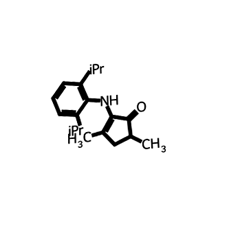 CC1=C(Nc2c(C(C)C)cccc2C(C)C)C(=O)C(C)C1